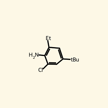 CCc1cc(C(C)(C)C)cc(Cl)c1N